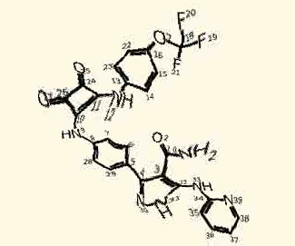 NC(=O)c1c(-c2ccc(Nc3c(Nc4ccc(OC(F)(F)F)cc4)c(=O)c3=O)cc2)n[nH]c1Nc1ccccn1